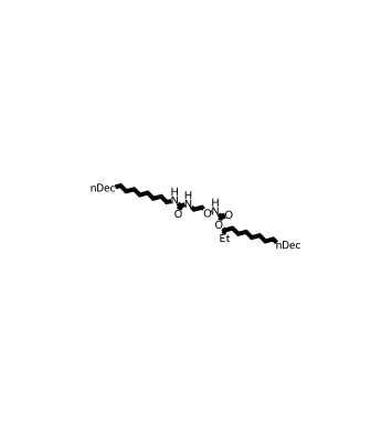 CCCCCCCCCCCCCCCCCCNC(=O)NCCONC(=O)OC(CC)CCCCCCCCCCCCCCCCC